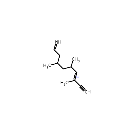 C#C/C(C)=C/C(C)CC(C)CC=N